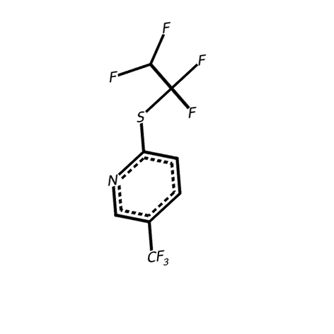 FC(F)C(F)(F)Sc1ccc(C(F)(F)F)cn1